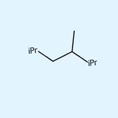 [CH2]C(C)C(C)CC(C)C